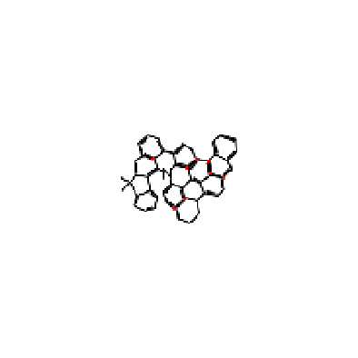 CC1(C)c2ccccc2-c2c(N(C3=CC(c4cccc5ccccc45)CC=C3c3ccccc3)c3ccccc3-c3cccc4cccc(C5CCCCC5)c34)cccc21